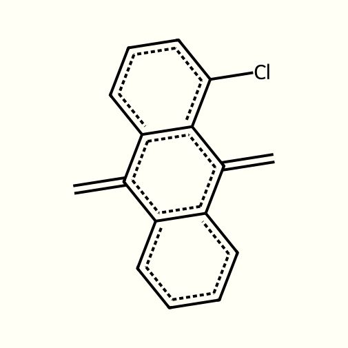 C=c1c2ccccc2c(=C)c2c(Cl)cccc12